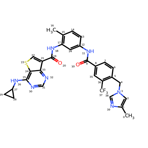 Cc1cn(Cc2ccc(C(=O)Nc3ccc(C)c(NC(=O)c4csc5c(NC6CC6)ncnc45)c3)cc2C(F)(F)F)cn1